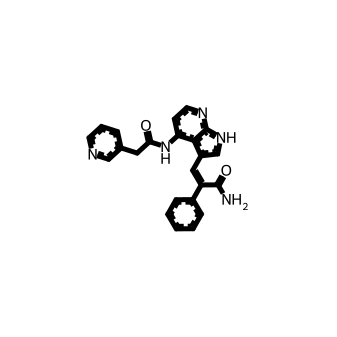 NC(=O)/C(=C\c1c[nH]c2nccc(NC(=O)Cc3cccnc3)c12)c1ccccc1